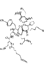 CCCCCCCCCCCCCCCC(=O)N[C@@H](CCSC)C(=O)NCC(=O)N[C@@H](Cc1ccc(O)cc1)C(=O)N[C@@H](CCC(N)=O)C(=O)N[C@@H](CCCCN)C(=O)N1CCC[C@H]1C(=O)N[C@@H](CC(C)C)C(=O)NC